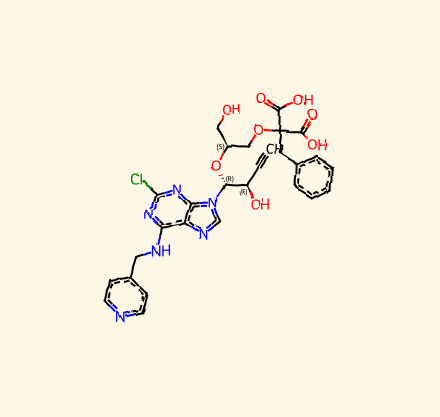 C#C[C@@H](O)[C@@H](O[C@@H](CO)COC(Cc1ccccc1)(C(=O)O)C(=O)O)n1cnc2c(NCc3ccncc3)nc(Cl)nc21